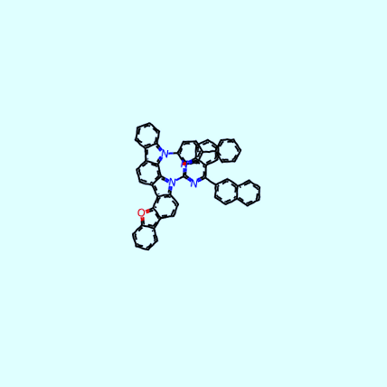 c1ccc(-c2ccc(-n3c4ccccc4c4ccc5c6c7oc8ccccc8c7ccc6n(-c6nc(-c7ccc8ccccc8c7)c7ccccc7n6)c5c43)cc2)cc1